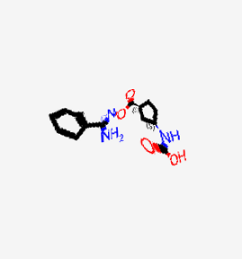 N/C(=N\OC(=O)[C@H]1CC[C@H](NC(=O)O)C1)c1ccccc1